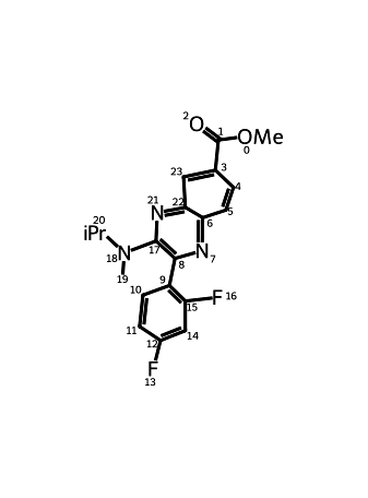 COC(=O)c1ccc2nc(-c3ccc(F)cc3F)c(N(C)C(C)C)nc2c1